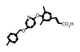 Cc1ccc(COc2ccc(Oc3c(C)cc(C=CC(=O)O)cc3C)nc2)cc1